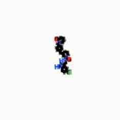 O=C(NCc1n[nH]c2ccc(Cl)cc12)N1CCCC(Cc2ccc(Cn3ccccc3=O)cc2)C1